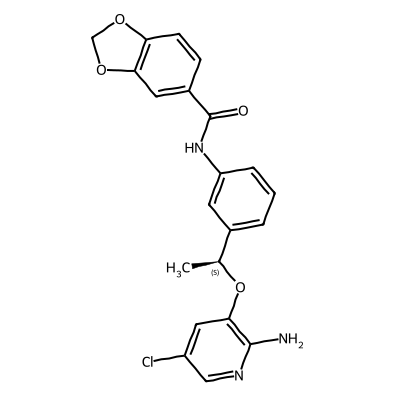 C[C@H](Oc1cc(Cl)cnc1N)c1cccc(NC(=O)c2ccc3c(c2)OCO3)c1